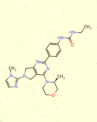 CCNC(=O)Nc1ccc(-c2nc3c(c(N4CCOC[C@@H]4C)n2)CN(c2nccn2C)C3)cc1